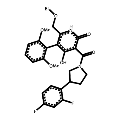 CCOCc1[nH]c(=O)c(C(=O)N2CCC(c3ccc(F)cc3F)C2)c(O)c1-c1c(OC)cccc1OC